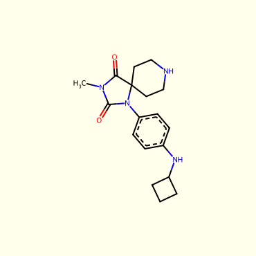 CN1C(=O)N(c2ccc(NC3CCC3)cc2)C2(CCNCC2)C1=O